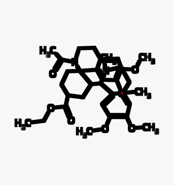 CCOC(=O)C1CCC2(c3cc(OC)c(OC)cc3CCN2C(C)=O)C(C2c3cc(OC)c(OC)cc3CCN2C)C1